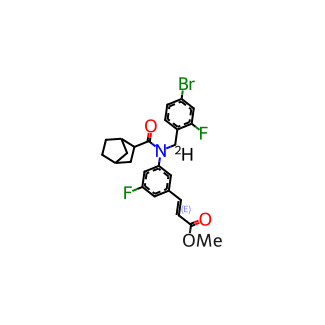 [2H]C(c1ccc(Br)cc1F)N(C(=O)C1CC2CCC1C2)c1cc(F)cc(/C=C/C(=O)OC)c1